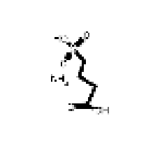 N.O=C(O)CCCS(=O)(=O)O